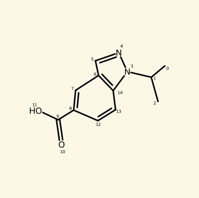 CC(C)n1ncc2cc(C(=O)O)ccc21